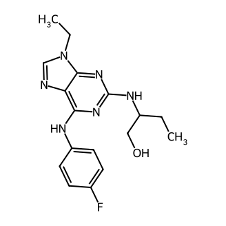 CCC(CO)Nc1nc(Nc2ccc(F)cc2)c2ncn(CC)c2n1